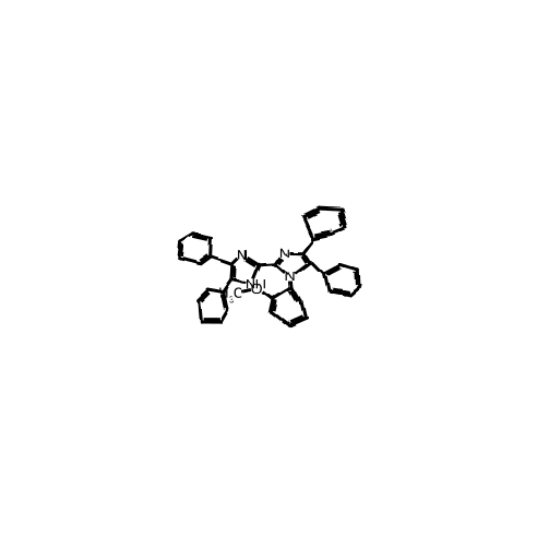 COc1ccccc1-n1c(-c2nc(-c3ccccc3)c(-c3ccccc3)[nH]2)nc(-c2ccccc2)c1-c1ccccc1